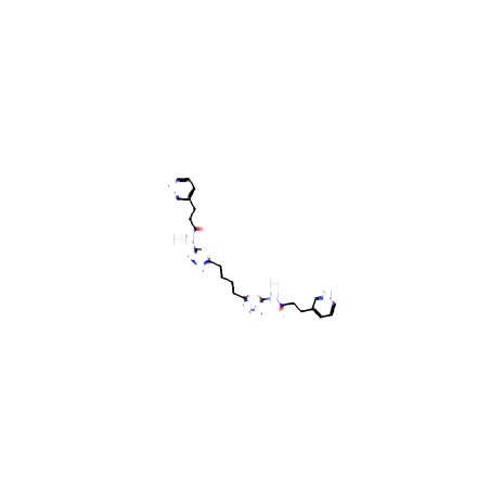 O=C(CCc1cccnc1)Nc1nnc(CCCCc2nnc(NC(=O)CCc3cccnc3)s2)s1